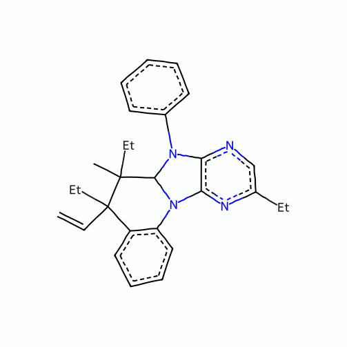 C=CC1(CC)c2ccccc2N2c3nc(CC)cnc3N(c3ccccc3)C2C1(C)CC